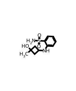 CC1(O)CC(Nc2ccccc2S(N)(=O)=O)C1